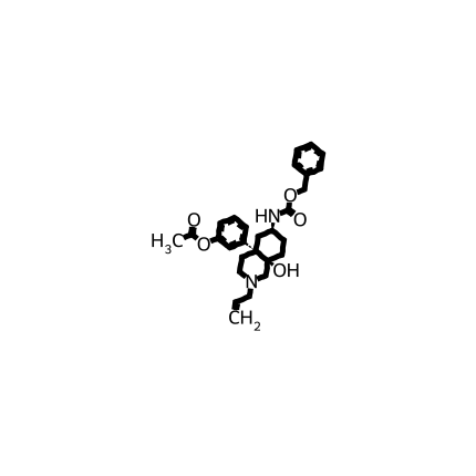 C=CCN1CC[C@@]2(c3cccc(OC(C)=O)c3)C[C@@H](NC(=O)OCc3ccccc3)CC[C@]2(O)C1